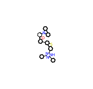 C1=C(n2c3ccccc3c3ccccc32)c2oc3c(-c4ccc5sc6ccc(C7N=C(c8ccccc8)N=C(c8ccccc8)N7)cc6c5c4)cccc3c2CC1